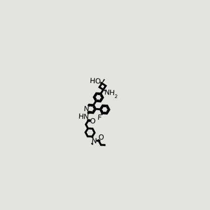 CCC(=O)N(C)C1CCC(CC(=O)Nc2cc(-c3ccccc3F)c(-c3ccc([C@]4(N)C[C@](C)(O)C4)cc3)cn2)CC1